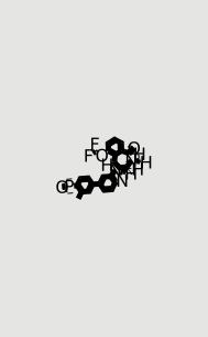 [2H]C([2H])([2H])N1C(=O)c2cccc(OC(F)F)c2[C@H]2C[C@@H]1c1nc3ccc(-c4ccc(P(C)(C)=O)c(C)c4)cc3n12